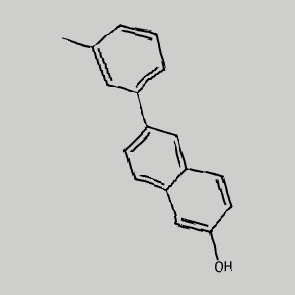 Cc1cccc(-c2ccc3cc(O)ccc3c2)c1